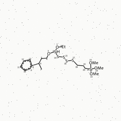 CCO[SiH](OCCC(C)c1ccccc1)SSSSCCC[Si](OC)(OC)OC